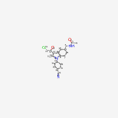 CC(=O)NCc1ccc2c(c1)c(C(=O)CCl)c(C)n2-c1ccc(C#N)cc1